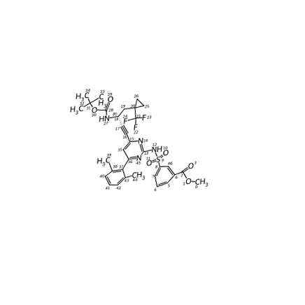 COC(=O)c1cccc(S(=O)(=O)Nc2nc(C#C[C@@H](CC3(C(F)(F)F)CC3)NC(=O)OC(C)(C)C)cc(-c3c(C)cccc3C)n2)c1